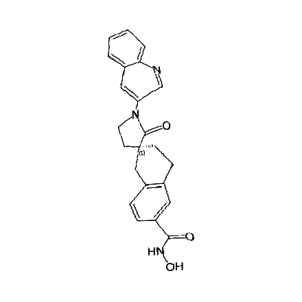 O=C(NO)c1ccc2c(c1)CC[C@@]1(CCN(c3cnc4ccccc4c3)C1=O)C2